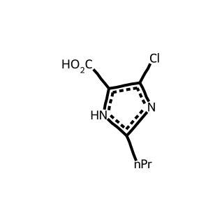 CCCc1nc(Cl)c(C(=O)O)[nH]1